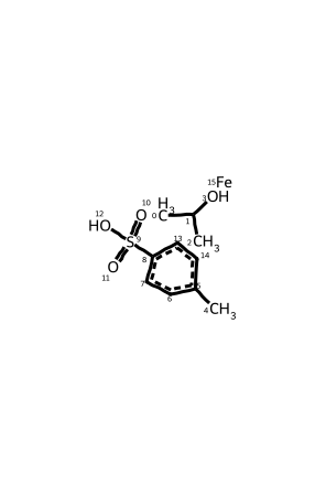 CC(C)O.Cc1ccc(S(=O)(=O)O)cc1.[Fe]